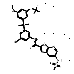 COc1cc(OC(F)(F)F)cc(C(C)(C)c2cc(Br)cc(NC(=O)c3cc4cc(NS(C)(=O)=O)cnc4s3)c2)c1